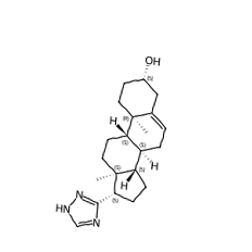 C[C@]12CC[C@H]3[C@@H](CC=C4C[C@@H](O)CC[C@@]43C)[C@@H]1CC[C@@H]2c1nc[nH]n1